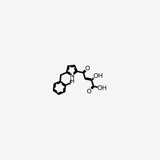 O=C(O)/C(O)=C/C(=O)c1ccc(Cc2ccccc2F)[nH]1